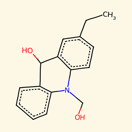 CCc1ccc2c(c1)C(O)c1ccccc1N2CO